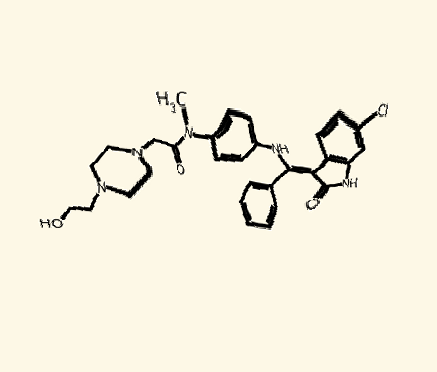 CN(C(=O)CN1CCN(CCO)CC1)c1ccc(NC(=C2C(=O)Nc3cc(Cl)ccc32)c2ccccc2)cc1